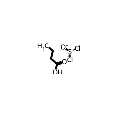 CCCC(=O)O.[O-][S+](Cl)Cl